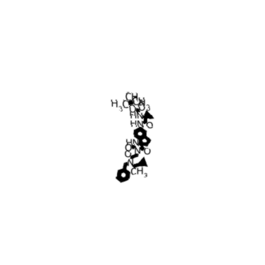 C[C@@H](C1CC1)N(Cc1ccccc1)C(=O)CN1C(=O)NC2(CCc3cc(NC(=O)C4(NC(=O)OC(C)(C)C)CC4)ccc32)C1=O